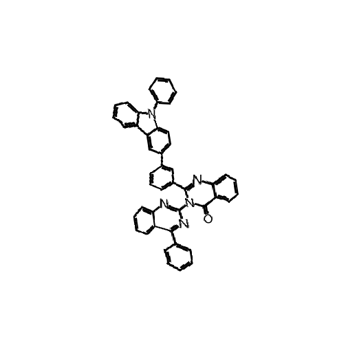 O=c1c2ccccc2nc(-c2cccc(-c3ccc4c(c3)c3ccccc3n4-c3ccccc3)c2)n1-c1nc(-c2ccccc2)c2ccccc2n1